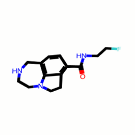 O=C(NCCF)c1ccc2c3c1CCN3CCNC2